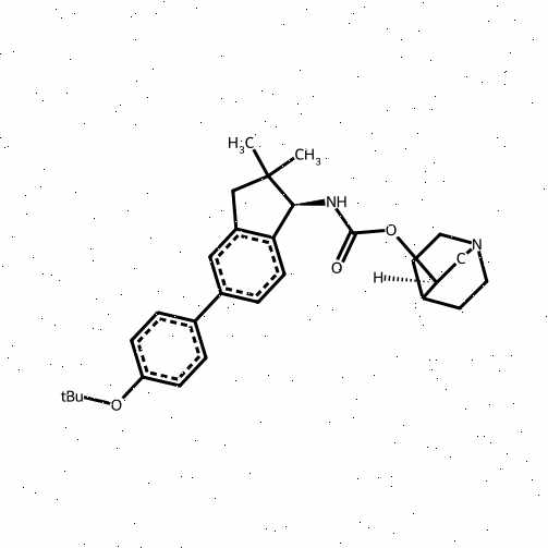 CC(C)(C)Oc1ccc(-c2ccc3c(c2)CC(C)(C)[C@H]3NC(=O)O[C@H]2CN3CCC2CC3)cc1